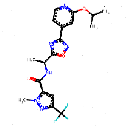 CC(C)Oc1cc(-c2noc(C(C)NC(=O)c3cc(C(F)(F)F)nn3C)n2)ccn1